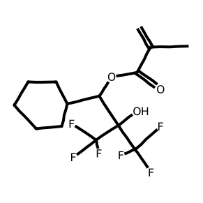 C=C(C)C(=O)OC(C1CCCCC1)C(O)(C(F)(F)F)C(F)(F)F